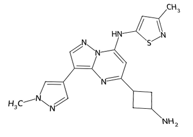 Cc1cc(Nc2cc(C3CC(N)C3)nc3c(-c4cnn(C)c4)cnn23)sn1